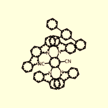 N#Cc1c(-n2c3ccccc3c3ccccc32)c(-n2c3ccccc3c3ccccc32)c(C#N)c(-n2c3cc(-c4cc(-c5ccccc5)ccc4-c4ccccc4)ccc3c3ccc4c5ccccc5sc4c32)c1-n1c2ccccc2c2ccccc21